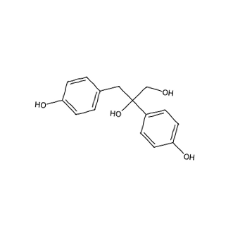 OCC(O)(Cc1ccc(O)cc1)c1ccc(O)cc1